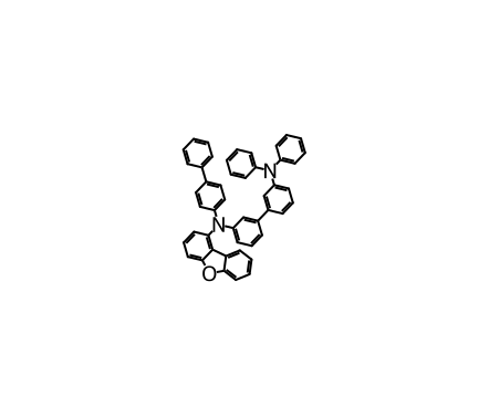 c1ccc(-c2ccc(N(c3cccc(-c4cccc(N(c5ccccc5)c5ccccc5)c4)c3)c3cccc4oc5ccccc5c34)cc2)cc1